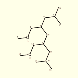 COCC(CC(C)C)CC(COC)CC(C)C